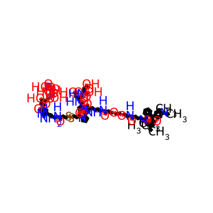 CC/N=C1\C=C2Oc3cc(CC)c(C)cc3C(c3ccccc3C(=O)N(C)CCCC(=O)NCCOCCOCCC(=O)NCCCCC(NC(=O)C3CCCN3C(=O)CCSSCCC(=O)NCC#Cc3cn([C@H]4CC(O)[C@@H](COP(=O)(O)OP(=O)(O)OP(=O)(O)O)O4)c(=O)nc3N)C(=O)N3CCCC3C(=O)NC(CC(=O)O)C(=O)NC(CC(=O)O)C(=O)O)C2C=C1C